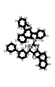 c1ccc(-c2cccc(C3NC(n4c5ccccc5c5c6sc7ccccc7c6c6ccccc6c54)=Nc4c3oc3c4ccc4ccccc43)c2)cc1